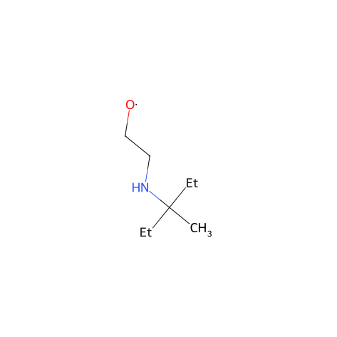 CCC(C)(CC)NCC[O]